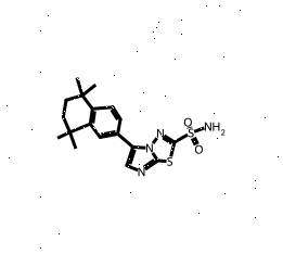 CC1(C)CCC(C)(C)c2cc(-c3cnc4sc(S(N)(=O)=O)nn34)ccc21